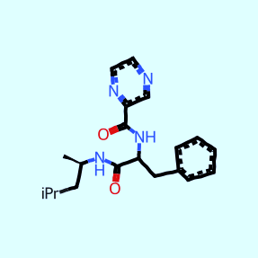 CC(C)C[C@@H](C)NC(=O)C(Cc1ccccc1)NC(=O)c1cnccn1